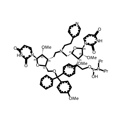 COc1ccc(C(OC[C@H]2O[C@@H](n3ccc(=O)[nH]c3=O)[C@H](OC)[C@@H]2CCN(CCc2ccncc2)C[C@@H]2O[C@@H](n3ccc(=O)[nH]c3=O)[C@H](OC)[C@@H]2C(C#N)COP(O)N(C(C)C)C(C)C)(c2ccccc2)c2ccc(OC)cc2)cc1